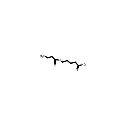 NCCC(=O)NCCCCC(=O)N=O